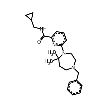 BC1(B)CCN(Cc2ccccc2)CCN1c1cccc(C(=O)NCC2CC2)n1